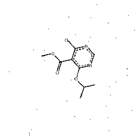 COC(=O)c1c(Cl)ncnc1OC(C)C